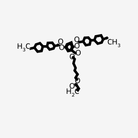 C=CC(=O)OCCCCCCOC(=O)c1cc(OC(=O)C2CCC(C3CCC(CC)CC3)CC2)ccc1OC(=O)C1CCC(C2CCC(CC)CC2)CC1